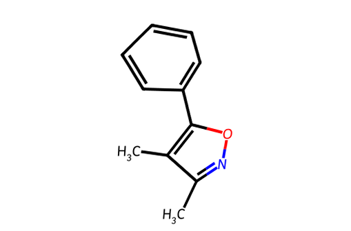 Cc1noc(-c2ccccc2)c1C